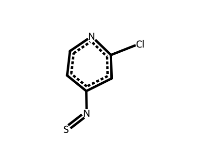 S=Nc1ccnc(Cl)c1